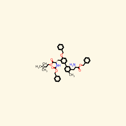 Cc1ccc(-c2ccc(OCc3ccccc3)c(C[C@H](NC(=O)OCc3ccccc3)C(=O)OCC[Si](C)(C)C)c2)cc1C[C@H](N)C(=O)OCc1ccccc1